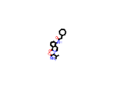 CC(C)C(C(N)=O)n1ccc2c(NC(=O)CC3CCCCCC3)cccc2c1=O